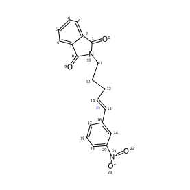 O=C1c2ccccc2C(=O)N1CCC/C=C/c1cccc([N+](=O)[O-])c1